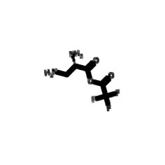 NC[C@H](N)C(=O)OC(=O)C(F)(F)F